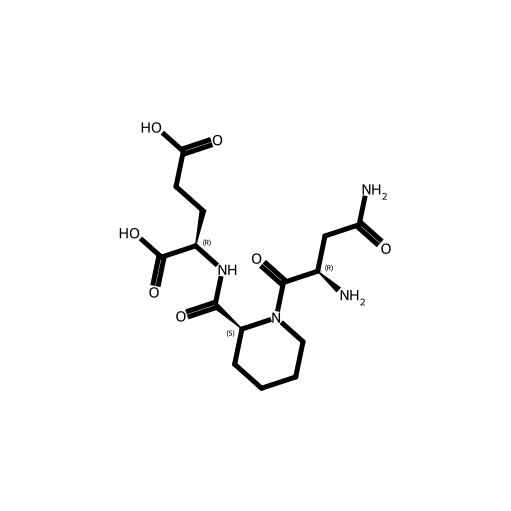 NC(=O)C[C@@H](N)C(=O)N1CCCC[C@H]1C(=O)N[C@H](CCC(=O)O)C(=O)O